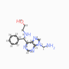 NCn1cnc2c(C(NCCO)c3ccccc3)ncnc21